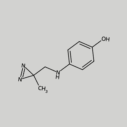 CC1(CNc2ccc(O)cc2)N=N1